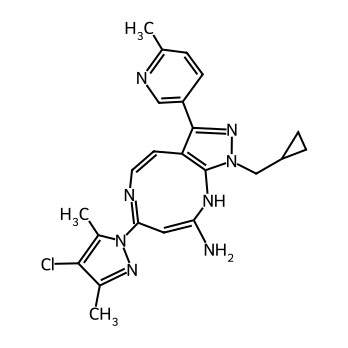 Cc1ccc(-c2nn(CC3CC3)c3[nH]c(N)cc(-n4nc(C)c(Cl)c4C)nccc23)cn1